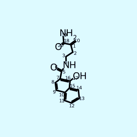 C=C(CCNC(=O)c1ccc2ccccc2c1O)C(N)=O